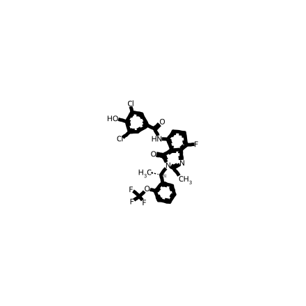 Cc1nc2c(F)ccc(NC(=O)c3cc(Cl)c(O)c(Cl)c3)c2c(=O)n1[C@@H](C)c1ccccc1OC(F)(F)F